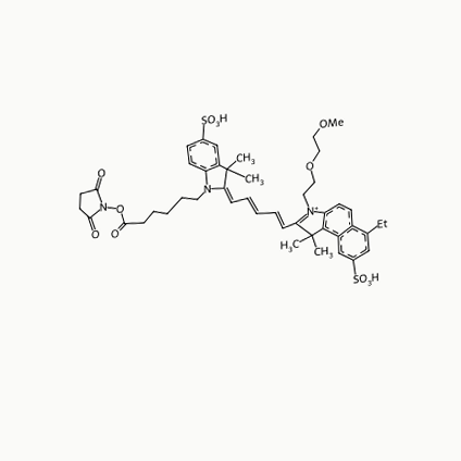 CCc1cc(S(=O)(=O)O)cc2c3c(ccc12)[N+](CCOCCOC)=C(/C=C/C=C/C=C1/N(CCCCCC(=O)ON2C(=O)CCC2=O)c2ccc(S(=O)(=O)O)cc2C1(C)C)C3(C)C